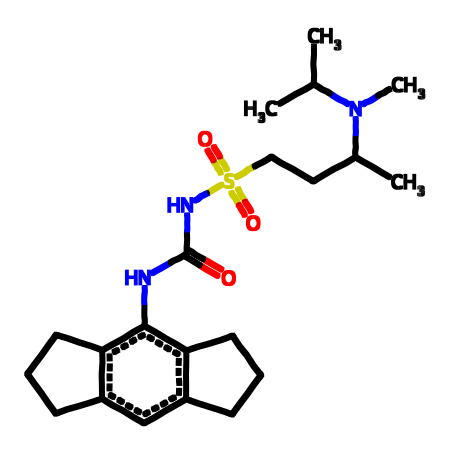 CC(C)N(C)C(C)CCS(=O)(=O)NC(=O)Nc1c2c(cc3c1CCC3)CCC2